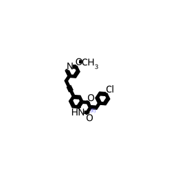 COc1ccc(CC#Cc2ccc3c(c2)C(=O)/C(=C\c2ccc(Cl)cc2)C(=O)N3)cn1